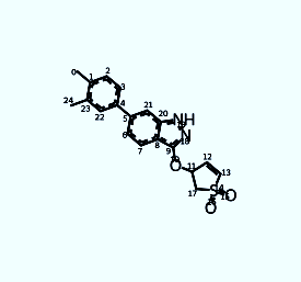 Cc1ccc(-c2ccc3c(OC4C=CS(=O)(=O)C4)n[nH]c3c2)cc1C